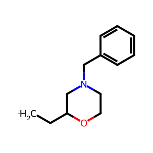 [CH2]CC1CN(Cc2ccccc2)CCO1